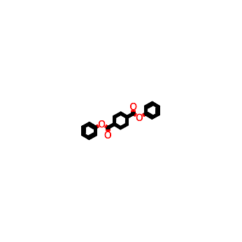 O=C(Oc1ccccc1)C1CCC(C(=O)Oc2ccccc2)CC1